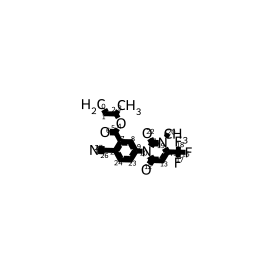 C=CC(C)OC(=O)c1cc(-n2c(=O)cc(C(F)(F)F)n(C)c2=O)ccc1C#N